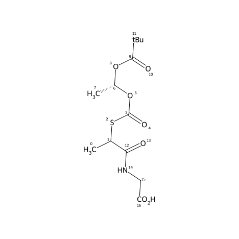 CC(SC(=O)O[C@H](C)OC(=O)C(C)(C)C)C(=O)NCC(=O)O